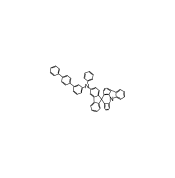 c1ccc(-c2ccc(-c3cccc(N(c4ccccc4)c4ccc5c(c4)-c4ccccc4C54c5ccccc5-n5c6ccccc6c6cccc4c65)c3)cc2)cc1